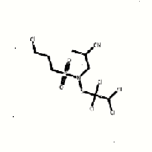 CC(C#N)CN(SC(Cl)(Cl)C(Cl)Cl)S(=O)(=O)CCCCl